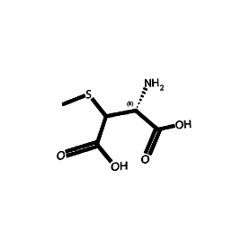 CSC(C(=O)O)[C@H](N)C(=O)O